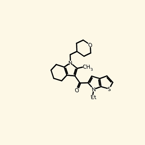 CCn1c(C(=O)c2c3c(n(CC4CCOCC4)c2C)CCCC3)cc2ccsc21